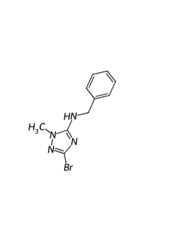 Cn1nc(Br)nc1NCc1ccccc1